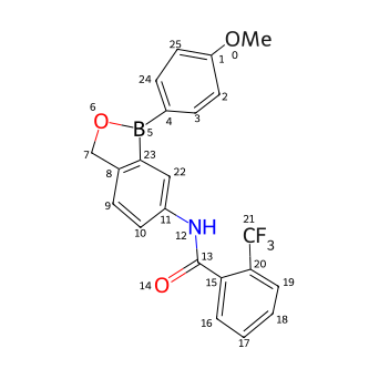 COc1ccc(B2OCc3ccc(NC(=O)c4ccccc4C(F)(F)F)cc32)cc1